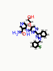 NC(=O)c1cnccc1Nc1nc(-c2nn(Cc3ccccc3F)c3ccccc23)ncc1OCCO